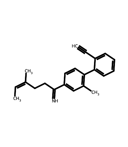 C#Cc1ccccc1-c1ccc(C(=N)CC/C(C)=C\C)cc1C